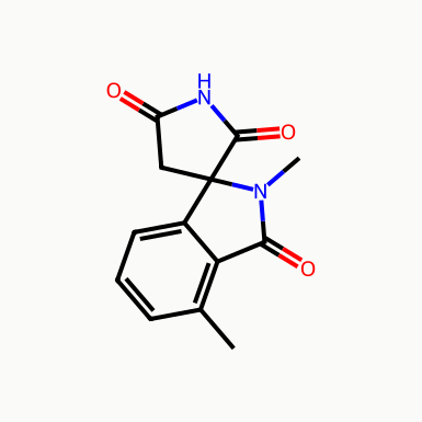 Cc1cccc2c1C(=O)N(C)C21CC(=O)NC1=O